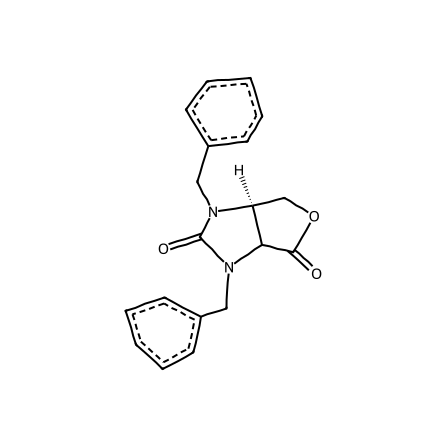 O=C1OC[C@H]2C1N(Cc1ccccc1)C(=O)N2Cc1ccccc1